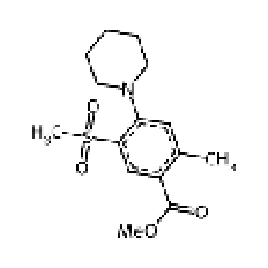 COC(=O)c1cc(S(C)(=O)=O)c(N2CCCCC2)cc1C